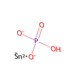 O=P([O-])([O-])O.[Sn+2]